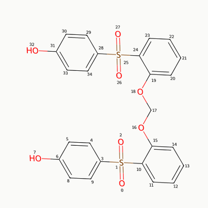 O=S(=O)(c1ccc(O)cc1)c1ccccc1OCOc1ccccc1S(=O)(=O)c1ccc(O)cc1